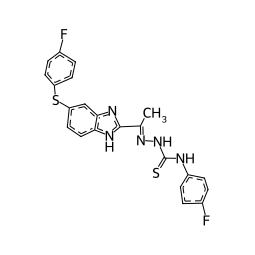 C/C(=N\NC(=S)Nc1ccc(F)cc1)c1nc2cc(Sc3ccc(F)cc3)ccc2[nH]1